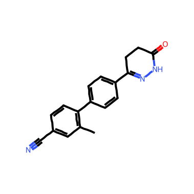 Cc1cc(C#N)ccc1-c1ccc(C2=NNC(=O)CC2)cc1